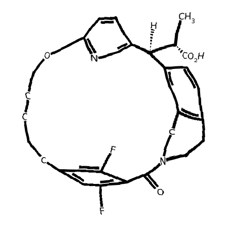 C[C@H](C(=O)O)[C@@H]1c2ccc(nc2)OCCCCCc2cc(F)c(c(F)c2)C(=O)N2CCc3ccc1cc3C2